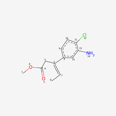 CC=C(CC(=O)OC)c1ccc(Cl)c(N)c1